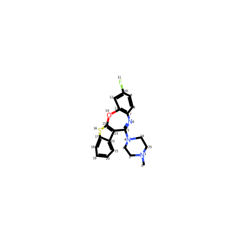 CN1CCN(C2=Nc3ccc(F)cc3Oc3sc4ccccc4c32)CC1